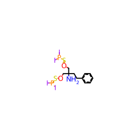 NC(CCc1ccccc1)(COSP(I)I)COSP(I)I